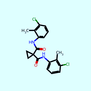 Cc1c(Cl)cccc1NC(=O)C1(C(=O)Nc2cccc(Cl)c2C)CC1